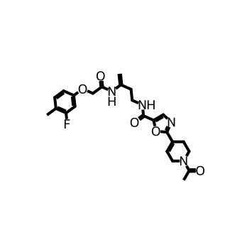 C=C(CCNC(=O)c1cnc(C2=CCN(C(C)=O)CC2)o1)NC(=O)COc1ccc(C)c(F)c1